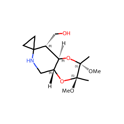 CO[C@@]1(C)O[C@@H]2[C@@H](CO)C3(CC3)NC[C@H]2O[C@]1(C)OC